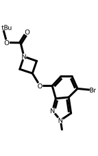 Cn1cc2c(Br)ccc(OC3CN(C(=O)OC(C)(C)C)C3)c2n1